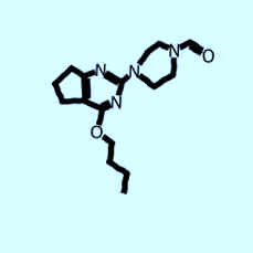 CCCCOc1nc(N2CCN(C=O)CC2)nc2c1CCC2